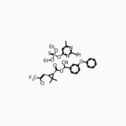 CC1(C)[C@H](C(=O)OC(C#N)c2cccc(Oc3ccccc3)c2)[C@@H]1/C=C(\Cl)C(F)(F)F.CCOP(=S)(OCC)Oc1cc(C)nc(C(C)C)n1